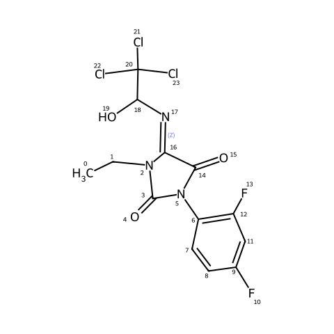 CCN1C(=O)N(c2ccc(F)cc2F)C(=O)/C1=N/C(O)C(Cl)(Cl)Cl